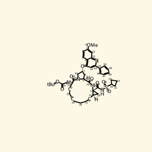 COc1ccc2c(O[C@@H]3C[C@H]4C(=O)N[C@]5(C(=O)NS(=O)(=O)C6CCC6)C[C@H]5CCCCCCC[C@H](NC(=O)OC(C)(C)C)C(=O)N4C3)cc(-c3ccccc3)nc2c1